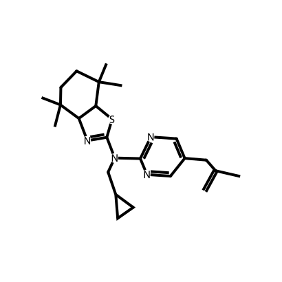 C=C(C)Cc1cnc(N(CC2CC2)C2=NC3C(S2)C(C)(C)CCC3(C)C)nc1